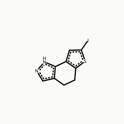 Ic1cc2c(s1)CCc1cn[nH]c1-2